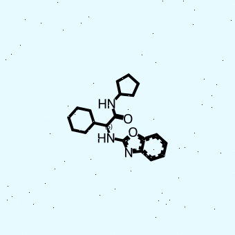 O=C(NC1CCCC1)[C@@H](Nc1nc2ccccc2o1)C1CCCCC1